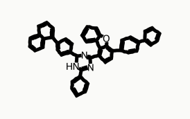 c1ccc(C2=NC(c3ccc(-c4ccc(-c5ccccc5)cc4)c4oc5ccccc5c34)=NC(c3ccc(-c4cccc5ccccc45)cc3)N2)cc1